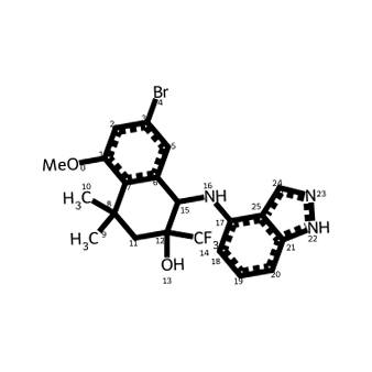 COc1cc(Br)cc2c1C(C)(C)CC(O)(C(F)(F)F)C2Nc1cccc2[nH]ncc12